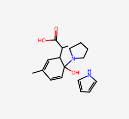 CC1=CC(C(C)C(=O)O)C(O)(N2CCCC2)C=C1.c1cc[nH]c1